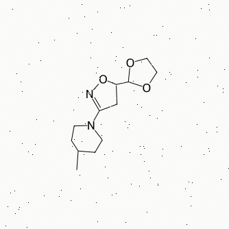 CC1CCN(C2=NOC(C3OCCO3)C2)CC1